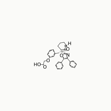 O=C(O)COc1cccc(C[C@@H]2CCC[C@H]3O[C@@]23c2nc(-c3ccccc3)c(-c3ccccc3)o2)c1